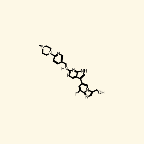 CN1CCN(c2ccc(CNc3ncc4c(-c5cc(F)c6ncc(CO)n6c5)c[nH]c4n3)cn2)CC1